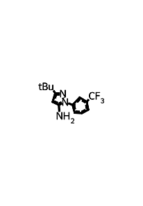 CC(C)(C)c1cc(N)n(-c2cccc(C(F)(F)F)c2)n1